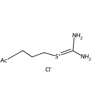 CC(=O)CCC[S+]=C(N)N.[Cl-]